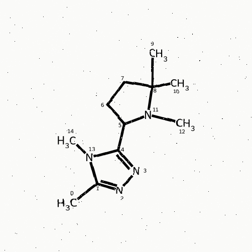 Cc1nnc(C2CCC(C)(C)N2C)n1C